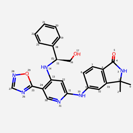 CC1(C)NC(=O)c2ccc(Nc3cc(N[C@H](CO)c4ccccc4)c(-c4ncno4)cn3)cc21